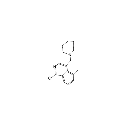 Cc1cccc2c(Cl)ncc(CN3CCCCC3)c12